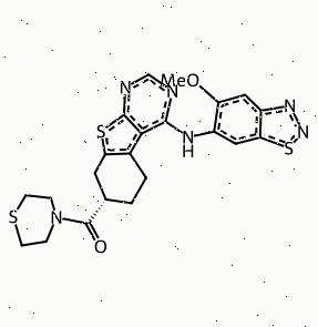 COc1cc2nnsc2cc1Nc1ncnc2sc3c(c12)CC[C@H](C(=O)N1CCSCC1)C3